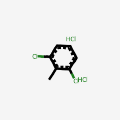 Cc1c(Cl)cccc1Cl.Cl.Cl